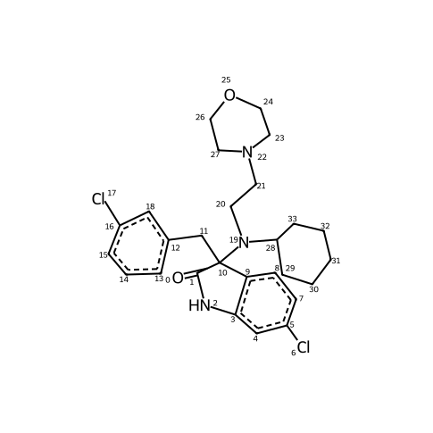 O=C1Nc2cc(Cl)ccc2C1(Cc1cccc(Cl)c1)N(CCN1CCOCC1)C1CCCCC1